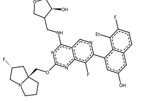 CCc1c(F)ccc2cc(O)cc(-c3ncc4c(NCC5COC[C@H]5O)nc(OC[C@@]56CCCN5C[C@H](F)C6)nc4c3F)c12